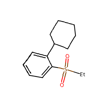 CCS(=O)(=O)c1ccccc1C1CCCCC1